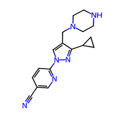 N#Cc1ccc(-n2cc(CN3CCNCC3)c(C3CC3)n2)nc1